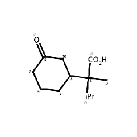 CC(C)C(C)(C(=O)O)C1CCCC(=O)C1